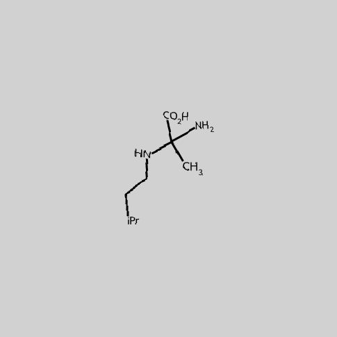 CC(C)CCNC(C)(N)C(=O)O